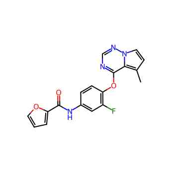 Cc1ccn2ncnc(Oc3ccc(NC(=O)c4ccco4)cc3F)c12